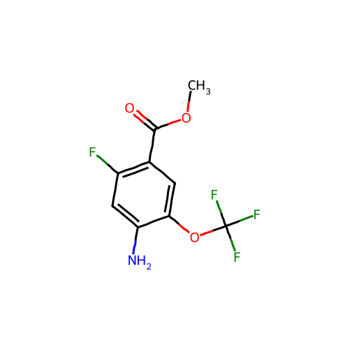 COC(=O)c1cc(OC(F)(F)F)c(N)cc1F